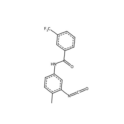 Cc1ccc(NC(=O)c2cccc(C(F)(F)F)c2)cc1N=C=O